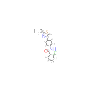 Cc1nc(-c2ccc(NC(=O)c3ccccc3Cl)cc2)cs1